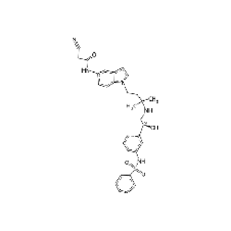 CC(C)(CCn1ccc2cc(NC(=O)CC#N)ccc21)NC[C@@H](O)c1cccc(NS(=O)(=O)c2ccccc2)c1